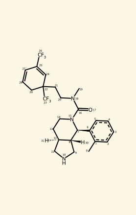 Cc1ccccc1[C@H]1[C@@H]2CNC[C@H]2CCN1C(=O)N(C)CCC1(C(F)(F)F)C=C(C(F)(F)F)C=CC1